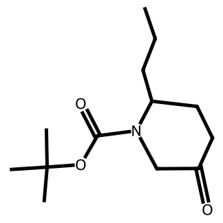 CCCC1CCC(=O)CN1C(=O)OC(C)(C)C